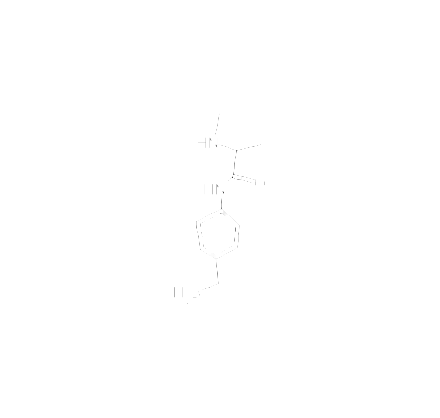 BCc1ccc(NC(=O)C(C)NC)cc1